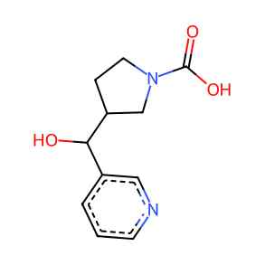 O=C(O)N1CCC(C(O)c2cccnc2)C1